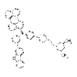 C=C1CC(C)CC(CCc2ccc(-c3ccc(N(c4ccc(-c5cccc6cccc(-c7ccccc7)c56)cc4)c4cccc(-c5ccc6c(c5)oc5ccccc56)c4)cc3)cc2)C1